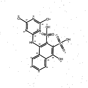 O=S(=O)(O)c1c(S(=O)(=O)O)c(Nc2nc(Cl)nc(Cl)n2)c2ccccc2c1O